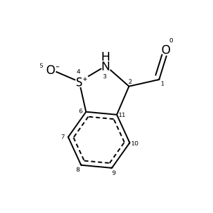 O=CC1N[S+]([O-])c2ccccc21